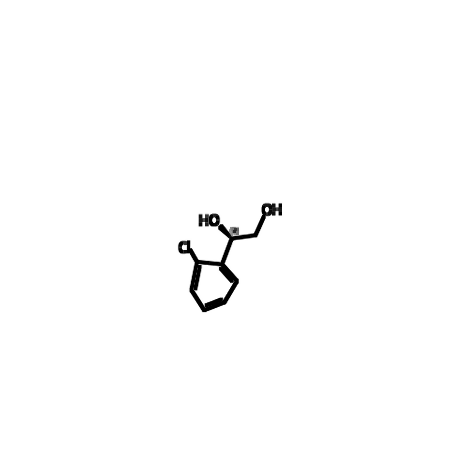 OC[C@H](O)c1ccccc1Cl